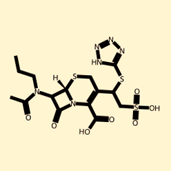 CCCN(C(C)=O)C1C(=O)N2C(C(=O)O)=C(C(CS(=O)(=O)O)Sc3nnn[nH]3)CS[C@@H]12